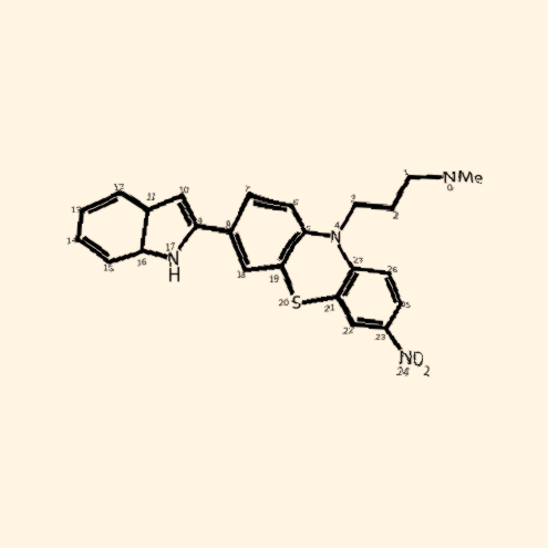 CNCCCN1c2ccc(C3=CC4C=CC=CC4N3)cc2Sc2cc([N+](=O)[O-])ccc21